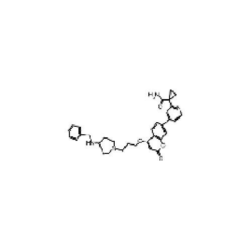 NC(=O)C1(c2cc(-c3ccc4c(OCCCN5CCC(NCc6ccccc6)CC5)cc(=O)oc4c3)ccn2)CC1